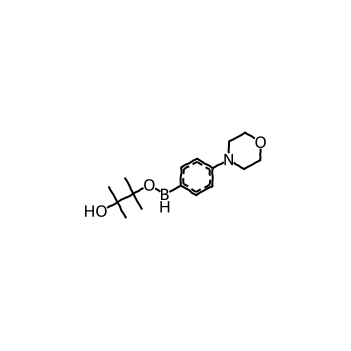 CC(C)(O)C(C)(C)OBc1ccc(N2CCOCC2)cc1